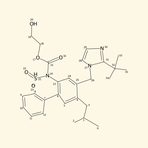 CC(C)Cc1cc(-c2ccccc2)c(N(C(=O)OCCO)[SH](=O)=O)cc1Cn1ccnc1C(C)(C)C